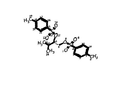 Cc1ccc(S(=O)(=O)OC[C@@H](OS(=O)(=O)c2ccc(C)cc2)C(C)C)cc1